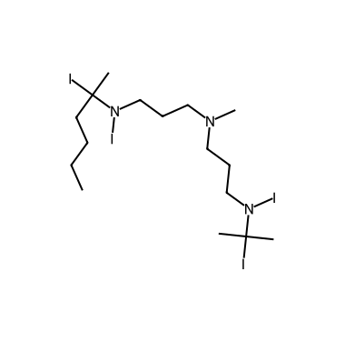 CCCCC(C)(I)N(I)CCCN(C)CCCN(I)C(C)(C)I